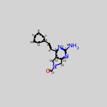 Nc1nc(/C=C/c2ccccc2)c2c(n1)CN(C=O)C2